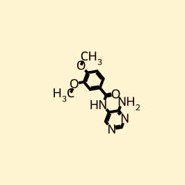 COc1ccc(C(=O)Nc2cncnc2N)cc1OC